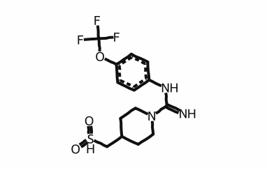 N=C(Nc1ccc(OC(F)(F)F)cc1)N1CCC(C[SH](=O)=O)CC1